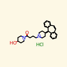 Cl.O=C(CCCN1CCC(=C2c3ccccc3C=Cc3ccccc32)CC1)N1CCC(O)CC1